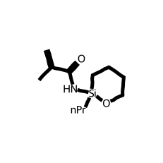 C=C(C)C(=O)N[Si]1(CCC)CCCCO1